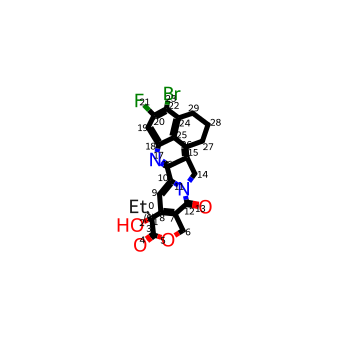 CC[C@@]1(O)C(=O)OCc2c1cc1n(c2=O)Cc2c-1nc1cc(F)c(Br)c3c1c2CCC3